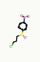 O=[N+]([O-])c1ccc([S+]([O-])CCCCl)cc1